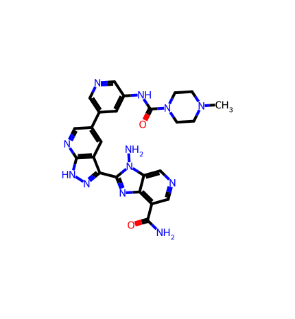 CN1CCN(C(=O)Nc2cncc(-c3cnc4[nH]nc(-c5nc6c(C(N)=O)cncc6n5N)c4c3)c2)CC1